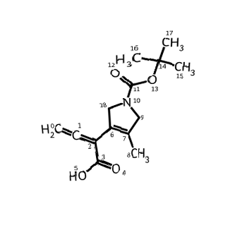 C=C=C(C(=O)O)C1=C(C)CN(C(=O)OC(C)(C)C)C1